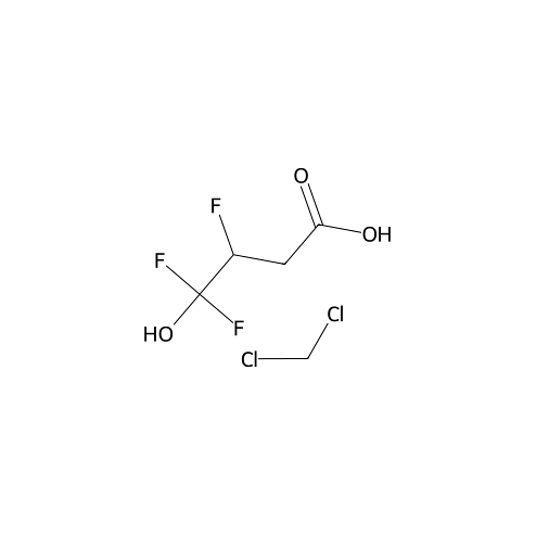 ClCCl.O=C(O)CC(F)C(O)(F)F